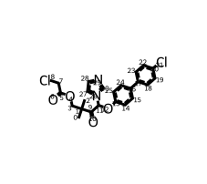 CC(C)(COC(=O)CCl)C(=O)C(Oc1ccc(-c2ccc(Cl)cc2)cc1)n1ccnc1